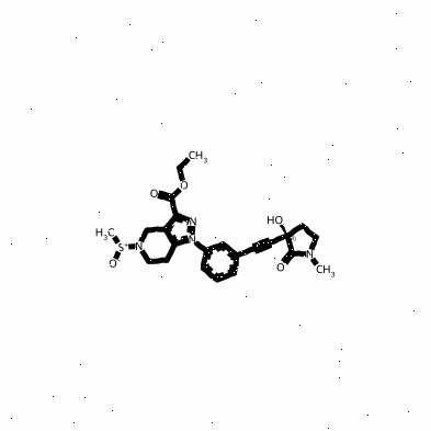 CCOC(=O)c1nn(-c2cccc(C#C[C@]3(O)CCN(C)C3=O)c2)c2c1CN([S+](C)[O-])CC2